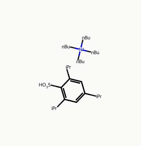 CC(C)c1cc(C(C)C)c(S(=O)(=O)O)c(C(C)C)c1.CCCC[N+](CCCC)(CCCC)CCCC